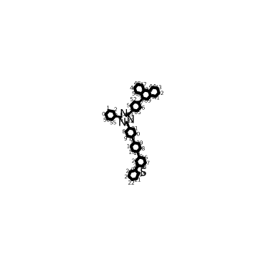 c1ccc(-c2nc(-c3ccc(-c4ccc(-c5ccc6sc7ccccc7c6c5)cc4)cc3)nc(-c3ccc(-c4cc5ccccc5c5ccccc45)cc3)n2)cc1